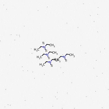 CC[N]([Ti])CC.CC[N]([Ti])CC.CC[N]([Ti])CC.CC[N]([Ti])CC.[Ti]